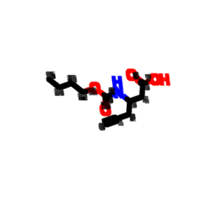 C#CCC(CC(=O)O)NC(=O)OCCCC